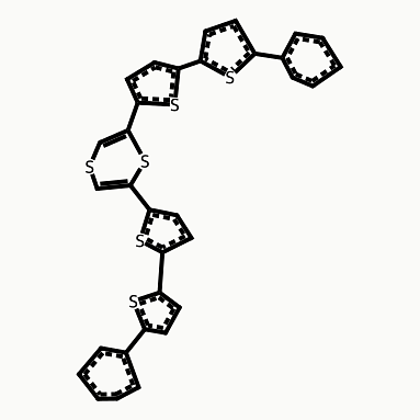 C1=C(c2ccc(-c3ccc(-c4ccccc4)s3)s2)SC(c2ccc(-c3ccc(-c4ccccc4)s3)s2)=CS1